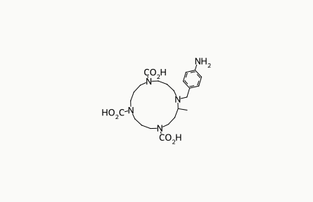 CC1CCN(C(=O)O)CCCN(C(=O)O)CCCN(C(=O)O)CCCN1Cc1ccc(N)cc1